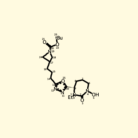 CCN1C(=O)N(O)CCC[C@H]1c1nnc(CCCC2CN(C(=O)OC(C)(C)C)C2)o1